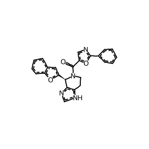 O=C(c1cnc(-c2ccccc2)o1)N1CCc2[nH]cnc2[C@H]1c1cc2ccccc2o1